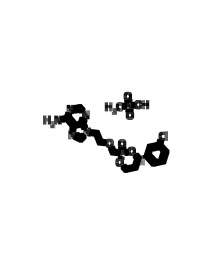 CS(=O)(=O)O.Nc1ncnc2c1ncn2CCOCP1(=O)OCC[C@@H](c2cccc(Cl)c2)O1